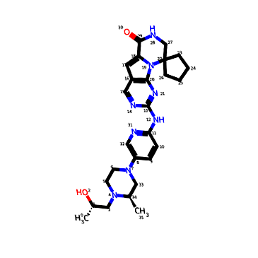 C[C@H](O)CN1CCN(c2ccc(Nc3ncc4cc5n(c4n3)C3(CCCC3)CNC5=O)nc2)C[C@H]1C